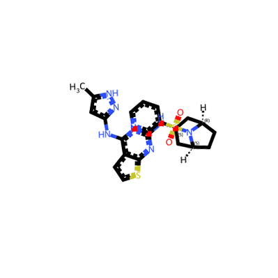 Cc1cc(Nc2nc(N[C@@H]3C[C@H]4CC[C@@H](C3)N4S(=O)(=O)c3cccnc3)nc3sccc23)n[nH]1